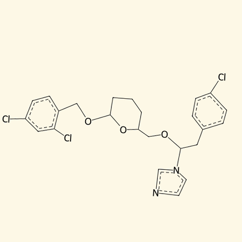 Clc1ccc(CC(OCC2CCCC(OCc3ccc(Cl)cc3Cl)O2)n2ccnc2)cc1